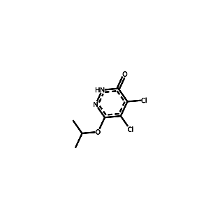 CC(C)Oc1n[nH]c(=O)c(Cl)c1Cl